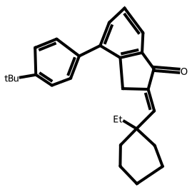 CCC1(C=C2Cc3c(cccc3-c3ccc(C(C)(C)C)cc3)C2=O)CCCCC1